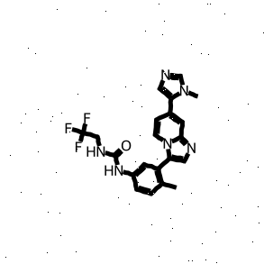 Cc1ccc(NC(=O)NCC(F)(F)F)cc1-c1cnc2cc(-c3cncn3C)ccn12